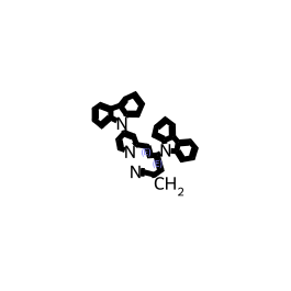 C=C(C#N)/C=C(\C=C\c1cc(-n2c3ccccc3c3ccccc32)ccn1)n1c2ccccc2c2ccccc21